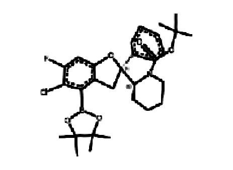 CC(C)(C)OC(=O)N1CCCC[C@H]1[C@@]1(c2ccccc2)Cc2c(cc(F)c(Cl)c2B2OC(C)(C)C(C)(C)O2)O1